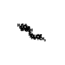 Cc1cc(Oc2ccc(SCCNS(=O)(=O)c3ccc(C)c(C(=O)O)c3)cc2)ccc1F